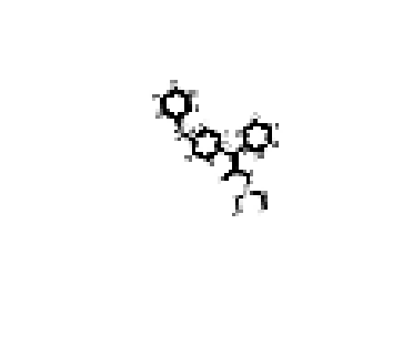 CCN(CC)CC(C)=C(c1ccccc1)c1ccc(Sc2ccccc2)cc1